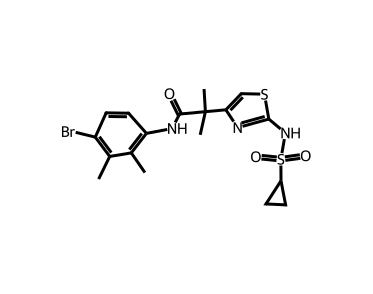 Cc1c(Br)ccc(NC(=O)C(C)(C)c2csc(NS(=O)(=O)C3CC3)n2)c1C